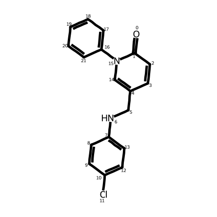 O=c1ccc(CNc2ccc(Cl)cc2)cn1-c1ccccc1